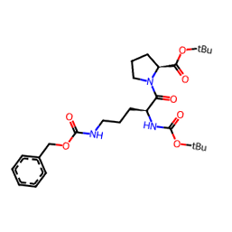 CC(C)(C)OC(=O)N[C@@H](CCCNC(=O)OCc1ccccc1)C(=O)N1CCC[C@H]1C(=O)OC(C)(C)C